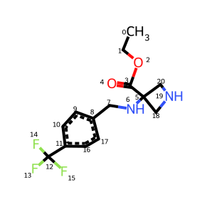 CCOC(=O)C1(NCc2ccc(C(F)(F)F)cc2)CNC1